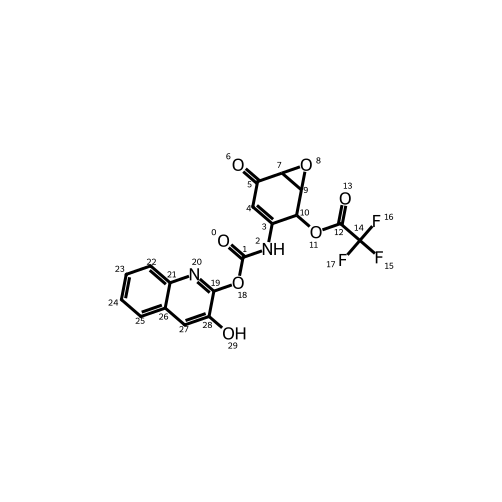 O=C(NC1=CC(=O)C2OC2C1OC(=O)C(F)(F)F)Oc1nc2ccccc2cc1O